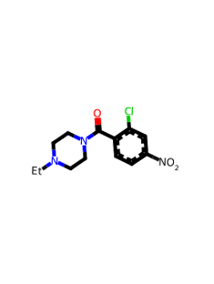 CCN1CCN(C(=O)c2ccc([N+](=O)[O-])cc2Cl)CC1